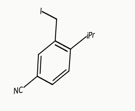 CC(C)c1ccc(C#N)cc1CI